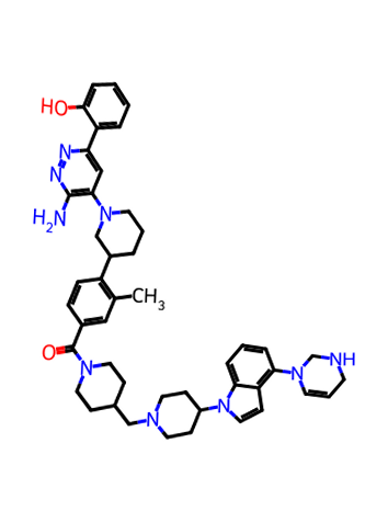 Cc1cc(C(=O)N2CCC(CN3CCC(n4ccc5c(N6C=CCNC6)cccc54)CC3)CC2)ccc1C1CCCN(c2cc(-c3ccccc3O)nnc2N)C1